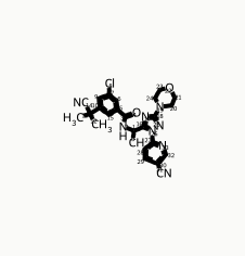 CC(NC(=O)c1cc(Cl)cc(C(C)(C)C#N)c1)c1nc(N2CCOCC2)nn1-c1ccc(C#N)cn1